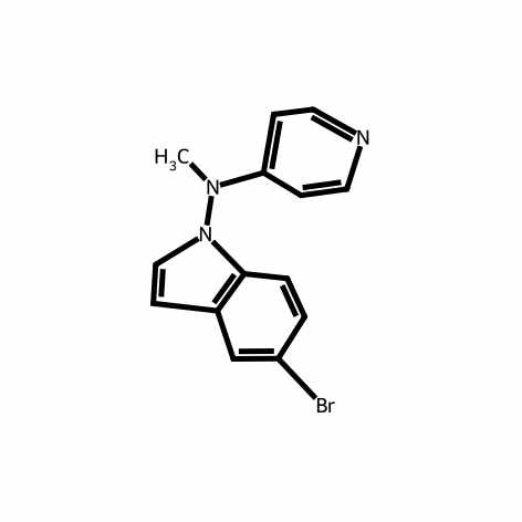 CN(c1ccncc1)n1ccc2cc(Br)ccc21